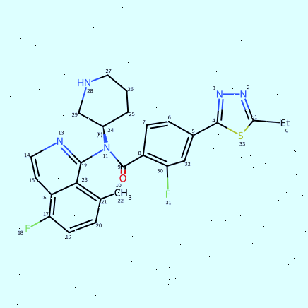 CCc1nnc(-c2ccc(C(=O)N(c3nccc4c(F)ccc(C)c34)[C@@H]3CCCNC3)c(F)c2)s1